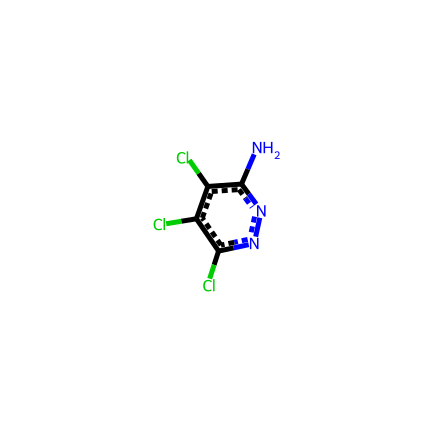 Nc1nnc(Cl)c(Cl)c1Cl